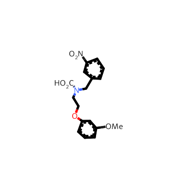 COc1cccc(OCCN(Cc2cccc([N+](=O)[O-])c2)C(=O)O)c1